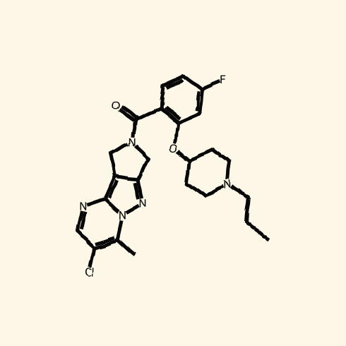 CCCN1CCC(Oc2cc(F)ccc2C(=O)N2Cc3nn4c(C)c(Cl)cnc4c3C2)CC1